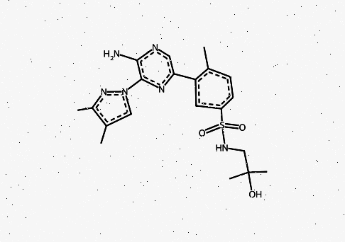 Cc1ccc(S(=O)(=O)NCC(C)(C)O)cc1-c1cnc(N)c(-n2cc(C)c(C)n2)n1